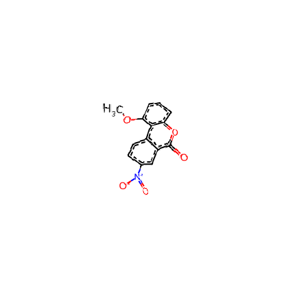 COc1cccc2oc(=O)c3cc([N+](=O)[O-])ccc3c12